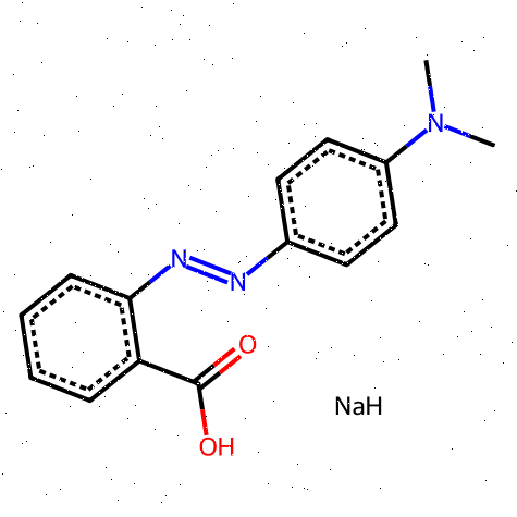 CN(C)c1ccc(N=Nc2ccccc2C(=O)O)cc1.[NaH]